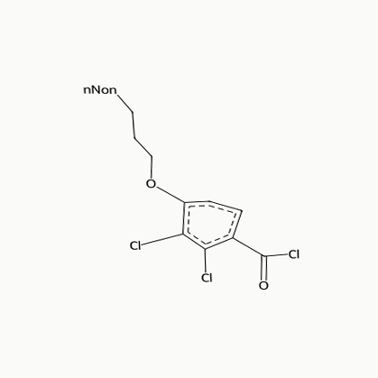 CCCCCCCCCCCCOc1ccc(C(=O)Cl)c(Cl)c1Cl